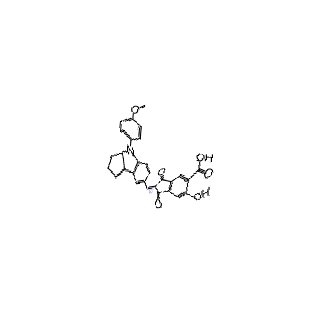 COc1ccc(N2c3ccc(/C=C4/C(=O)c5cc(O)c(C(=O)O)cc5C4=O)cc3C3CCCC32)cc1